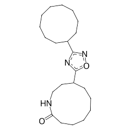 O=C1CCCCCCC(c2nc(C3CCCCCCCCC3)no2)CCN1